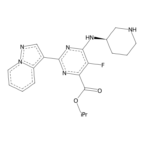 CC(C)OC(=O)c1nc(-c2cnn3ccccc23)nc(N[C@@H]2CCCNC2)c1F